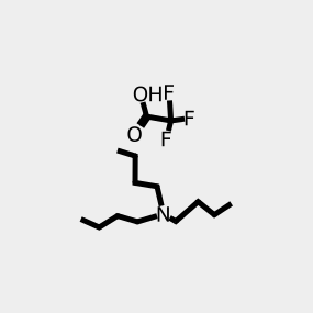 CCCCN(CCCC)CCCC.O=C(O)C(F)(F)F